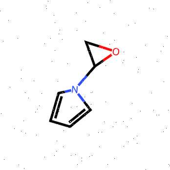 c1ccn(C2CO2)c1